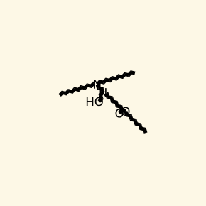 CCCCCCCCCCCCN(CCCCCCCCCCCC)CCN(CCO)CCCCCCCC(=O)OCCCCCCCCC